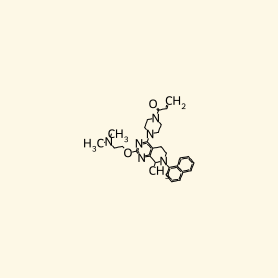 C=CC(=O)N1CCN(c2nc(OCCN(C)C)nc3c2CCN(c2cccc4ccccc24)C3C)CC1